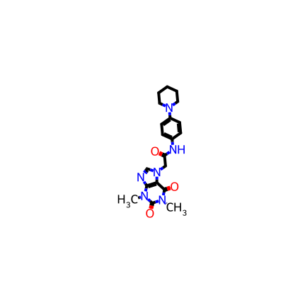 Cn1c(=O)c2c(ncn2CC(=O)Nc2ccc(N3CCCCC3)cc2)n(C)c1=O